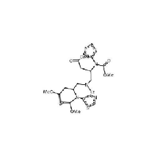 CCN(CC(CC(=O)OC)N(C(=O)OC)c1cncs1)CC(CC(=O)OC)N(C(=O)OC)c1cncs1